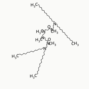 CCCCCCCCCCCCCCN(CCCCCCCCCCCCCC)CCN(C)C(=O)CCN(C)CCN(C)CCC(=O)N(C)CCN(CCCCCCCCCCCCCC)CCCCCCCCCCCCCC